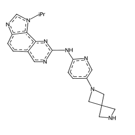 CC(C)n1cnc2ccc3cnc(Nc4ccc(N5CC6(CNC6)C5)cn4)nc3c21